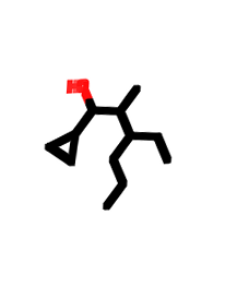 CCCC(CC)C(C)C(O)C1CC1